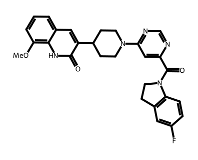 COc1cccc2cc(C3CCN(c4cc(C(=O)N5CCc6cc(F)ccc65)ncn4)CC3)c(=O)[nH]c12